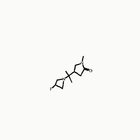 CN1CC(C(C)(C)N2CC(F)C2)CC1=O